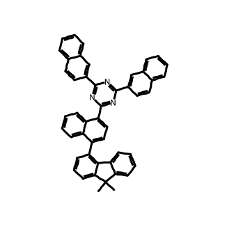 CC1(C)c2ccccc2-c2c(-c3ccc(-c4nc(-c5ccc6ccccc6c5)nc(-c5ccc6ccccc6c5)n4)c4ccccc34)cccc21